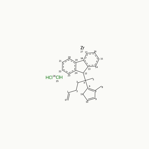 C=CCCC(C)(C1=C(C)C=CC1)C1c2ccccc2-c2ccccc21.Cl.Cl.[Zr]